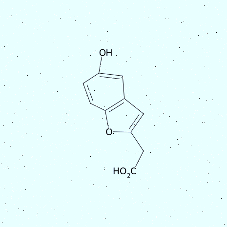 O=C(O)Cc1cc2cc(O)ccc2o1